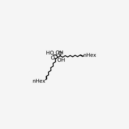 CCCCCCC=CCCCCCCCC(=O)C(O)(C(=O)CCCCCCCC=CCCCCCC)C(O)CO